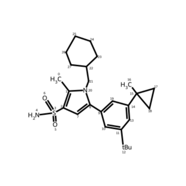 Cc1c(S(N)(=O)=O)cc(-c2cc(C(C)(C)C)cc(C3(C)CC3)c2)n1CC1CCCCC1